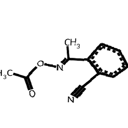 CC(=O)ON=C(C)c1ccccc1C#N